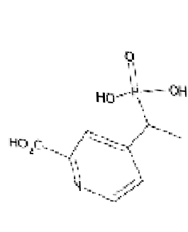 CC(c1ccnc(C(=O)O)c1)P(=O)(O)O